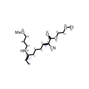 C/C=C(\CCC/C=C(\C#N)C(=O)OCCOCC)NCCCOC